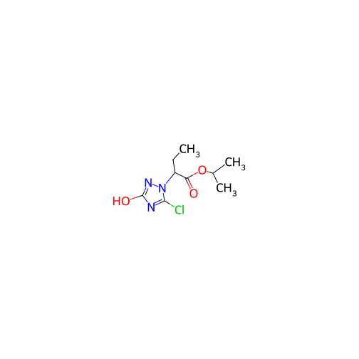 CCC(C(=O)OC(C)C)n1nc(O)nc1Cl